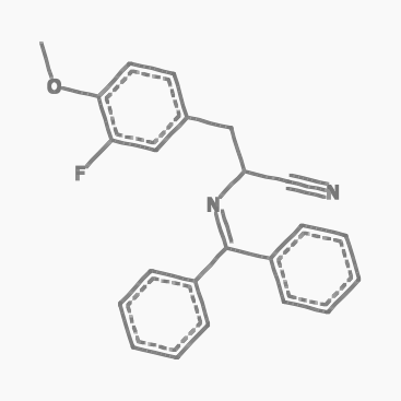 COc1ccc(CC(C#N)N=C(c2ccccc2)c2ccccc2)cc1F